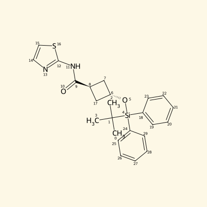 CC(C)(C)[Si](O[C@H]1C[C@H](C(=O)Nc2nccs2)C1)(c1ccccc1)c1ccccc1